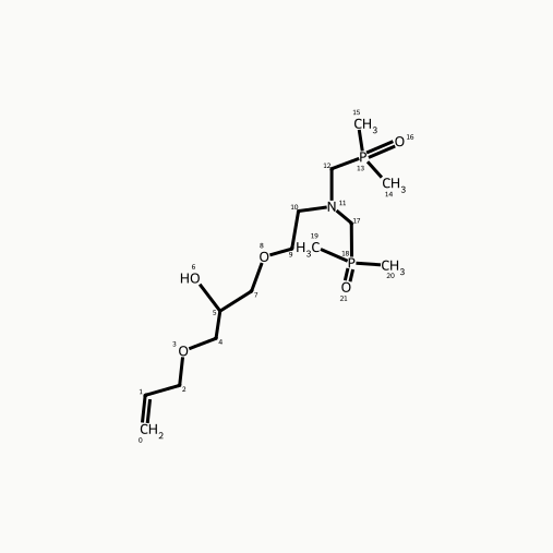 C=CCOCC(O)COCCN(CP(C)(C)=O)CP(C)(C)=O